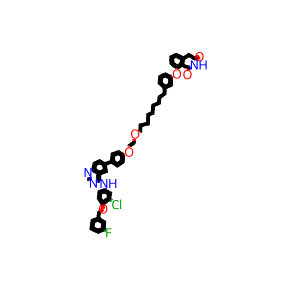 O=C1Cc2cccc(Oc3cccc(CCCCCCCCCOCCOc4ccc(-c5ccc6ncnc(Nc7ccc(OCc8cccc(F)c8)c(Cl)c7)c6c5)cc4)c3)c2C(=O)N1